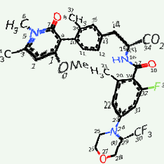 COc1cc(C)n(C)c(=O)c1-c1ccc(C[C@H](NC(=O)c2c(C)cc(N3CCOC[C@@H]3C(F)(F)F)cc2F)C(=O)O)cc1C